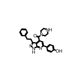 O=C(c1cc(-c2ccc(O)cc2)nc2[nH]nc(CCc3ccccc3)c12)N1CCNCC1